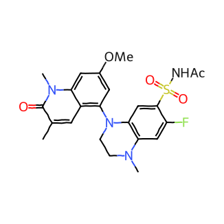 COc1cc(N2CCN(C)c3cc(F)c(S(=O)(=O)NC(C)=O)cc32)c2cc(C)c(=O)n(C)c2c1